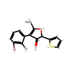 CCc1c(Br)cccc1C1=C(NC)OC(c2cccs2)C1=O